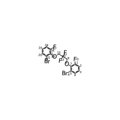 Fc1cccc(Br)c1OCC(F)(F)COc1c(F)cccc1Br